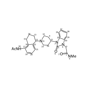 CNC(=O)Cn1c(=O)n(C2CCN(C3CCCc4c(NC(C)=O)cccc43)CC2)c2ccccc21